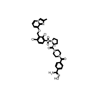 Cc1cn2cccc(OCc3c(Cl)ccc(S(=O)(=O)N4CCC[C@H]4C(=O)N4CCN(C(=O)c5ccc(C(N)=NO)cc5)CC4)c3Cl)c2n1